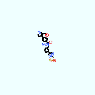 O=C(NCc1cccc(-c2cnc(C[SH](=O)=O)nc2)c1)c1ccc2c(c1)OCc1cnccc1-2